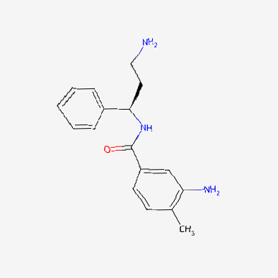 Cc1ccc(C(=O)N[C@H](CCN)c2ccccc2)cc1N